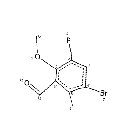 COc1c(F)cc(Br)c(C)c1C=O